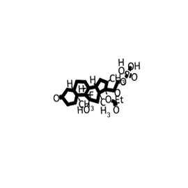 CCC(=O)O[C@@]1(C(=O)COP(=O)(O)O)[C@@H](C)C[C@H]2[C@@H]3CC[C@@H]4CC(=O)CC[C@]4(C)[C@@]3(F)[C@@H](O)C[C@@]21C